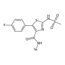 [2H]NC(=O)c1nc(NS(C)(=O)=O)sc1-c1ccc(F)cc1